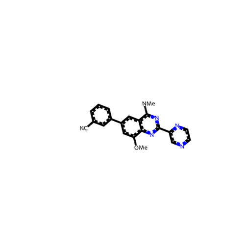 CNc1nc(-c2cnccn2)nc2c(OC)cc(-c3cccc(C#N)c3)cc12